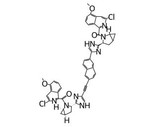 COc1cccc2c(C(=O)N3[C@@H]4CC4C[C@H]3c3nc(-c4ccc5cc(C#Cc6c[nH]c([C@@H]7C[C@H]8C[C@H]8N7C(=O)c7nc(Cl)cc8c(OC)cccc78)n6)ccc5c4)c[nH]3)nc(Cl)cc12